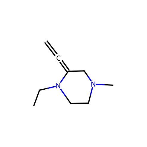 C=C=C1CN(C)CCN1CC